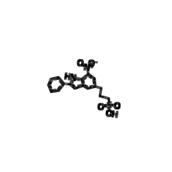 O=[N+]([O-])c1cc(CCCS(=O)(=O)O)cc2cc(-c3ccccc3)[nH]c12